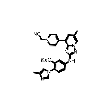 COc1cc(Nc2nc3c(C4=CCN(CC#N)CC4)cc(C)cn3n2)ccc1-n1cnc(C)c1